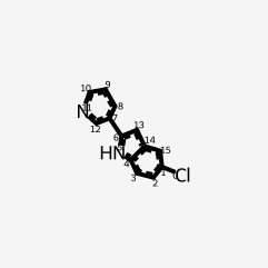 Clc1ccc2[nH]c(-c3cccnc3)cc2c1